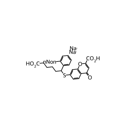 CCCCCCCCCc1ccccc1C(CCCCC(=O)O)Sc1ccc2c(=O)cc(C(=O)O)oc2c1.[Na].[Na]